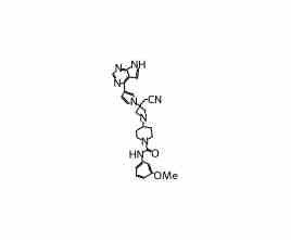 COc1cccc(NC(=O)N2CCC(N3CC(CC#N)(n4ccc(-c5ncnc6[nH]ccc56)c4)C3)CC2)c1